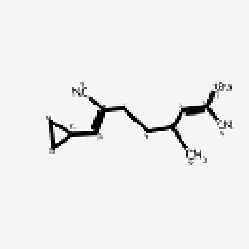 CC(/C=C(\C#N)C(C)(C)C)CC/C(C#N)=C/C1CC1